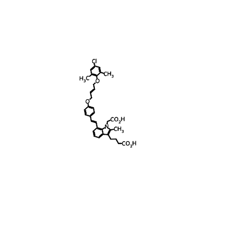 Cc1cc(Cl)cc(C)c1OCC=CCOc1ccc(C=Cc2cccc3c(CCCC(=O)O)c(C)n(CC(=O)O)c23)cc1